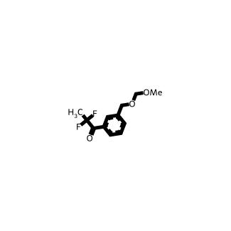 COCOCc1cccc(C(=O)C(C)(F)F)c1